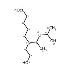 CCCCCCCCCCCCN(CCO)C(C)OC(C)O